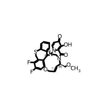 COC[C@H]1/C=C/COc2cc(F)c(F)c3c2[C@H](c2ccccc2SC3)N2CN1C(=O)c1c(O)c(=O)ccn12